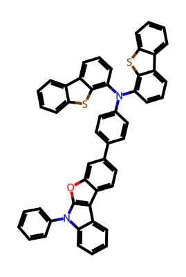 c1ccc(-n2c3ccccc3c3c4ccc(-c5ccc(N(c6cccc7c6sc6ccccc67)c6cccc7c6sc6ccccc67)cc5)cc4oc32)cc1